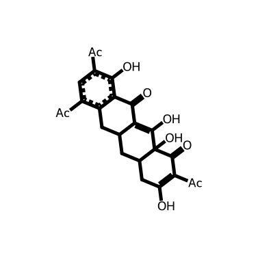 CC(=O)C1=C(O)CC2CC3Cc4c(C(C)=O)cc(C(C)=O)c(O)c4C(=O)C3=C(O)C2(O)C1=O